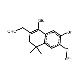 CCCOc1cc2c(cc1Br)C(C(C)(C)C)=C(CC=O)CC2(C)C